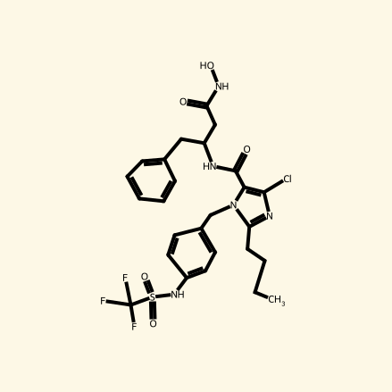 CCCCc1nc(Cl)c(C(=O)NC(CC(=O)NO)Cc2ccccc2)n1Cc1ccc(NS(=O)(=O)C(F)(F)F)cc1